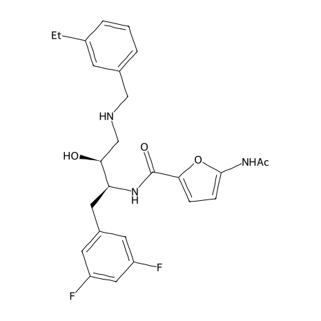 CCc1cccc(CNC[C@H](O)[C@H](Cc2cc(F)cc(F)c2)NC(=O)c2ccc(NC(C)=O)o2)c1